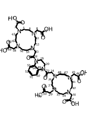 O=C(O)CN1CCN(CC(=O)O)CCN(CC(=O)N2CCN(C(=O)CN3CCN(CC(=O)O)CCN(CC(=O)O)CCN(CC(=O)O)CC3)c3ccccc32)CCN(CC(=O)O)CC1